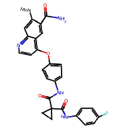 CNc1cc2nccc(Oc3ccc(NC(=O)C4(C(=O)Nc5ccc(F)cc5)CC4)cc3)c2cc1C(N)=O